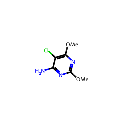 COc1nc(N)c(Cl)c(OC)n1